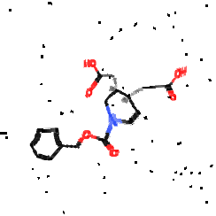 O=C(O)C[C@@H]1CCN(C(=O)OCc2ccccc2)C[C@@H]1CC(=O)O